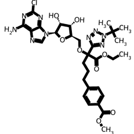 CCOC(=O)C(CCCc1ccc(C(=O)OC)cc1)(OC[C@H]1O[C@@H](n2cnc3c(N)nc(Cl)nc32)[C@H](O)[C@@H]1O)c1nnn(C(C)(C)C)n1